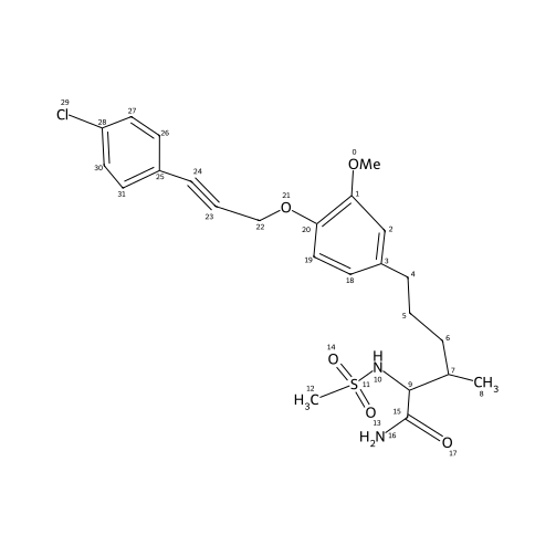 COc1cc(CCCC(C)C(NS(C)(=O)=O)C(N)=O)ccc1OCC#Cc1ccc(Cl)cc1